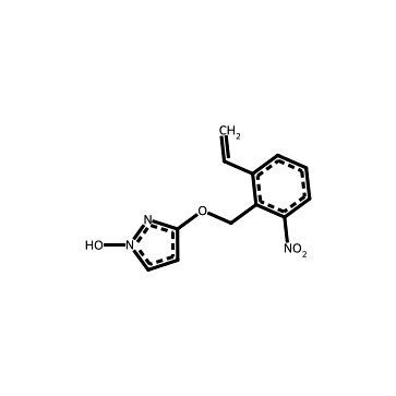 C=Cc1cccc([N+](=O)[O-])c1COc1ccn(O)n1